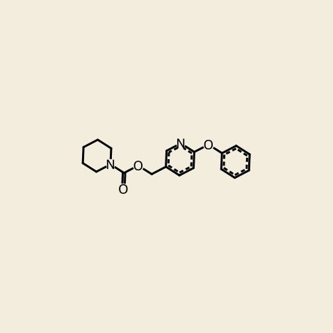 O=C(OCc1ccc(Oc2ccccc2)nc1)N1CCCCC1